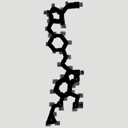 N#Cc1cnc(CN2CCC(CCc3noc4c(CO)c(OCC5CC5)ccc34)CC2)s1